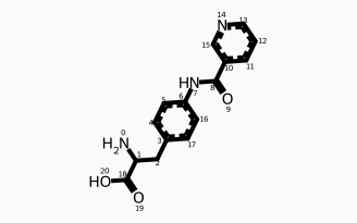 NC(Cc1ccc(NC(=O)c2cccnc2)cc1)C(=O)O